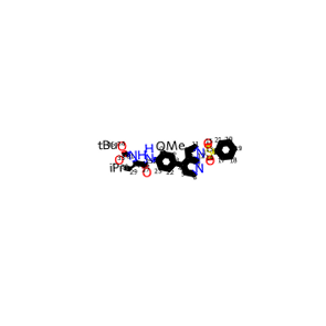 COc1cc(-c2ccnc3c2ccn3S(=O)(=O)c2ccccc2)ccc1NC(=O)[C@@H](CC(C)C)NC(=O)OC(C)(C)C